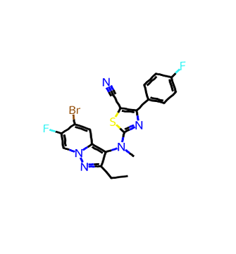 CCc1nn2cc(F)c(Br)cc2c1N(C)c1nc(-c2ccc(F)cc2)c(C#N)s1